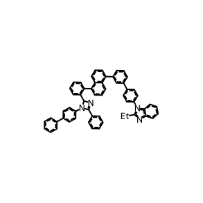 CCc1nc2ccccc2n1-c1ccc(-c2cccc(-c3cccc4c(-c5ccccc5C5N=C(c6ccccc6)N5c5ccc(-c6ccccc6)cc5)cccc34)c2)cc1